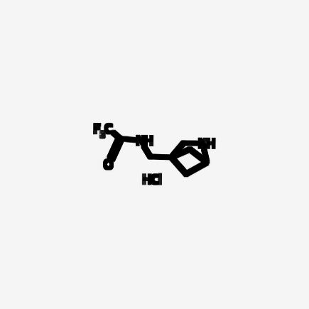 Cl.O=C(NCC12CNC(C1)C2)C(F)(F)F